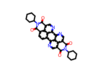 O=C1c2ccc3c4ncc5c6c(cnc(c7ncc(c2c37)C(=O)N1C1CCCCC1)c64)C(=O)N(C1CCCCC1)C5=O